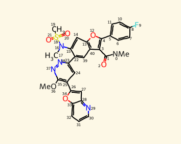 CNC(=O)c1c(-c2ccc(F)cc2)oc2cc(N(C)S(C)(=O)=O)c(-c3cc(-c4cc5ncccc5o4)c(OC)nn3)cc12